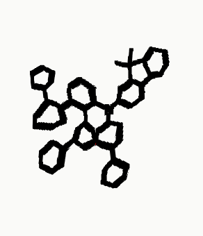 CC1(C)c2ccccc2-c2ccc(N(c3ccc(-c4ccccc4)cc3)c3cccc(-c4ccccc4-c4ccccc4)c3-c3cccc(-c4ccccc4)c3)cc21